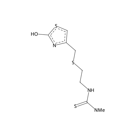 CNC(=S)NCCSCc1csc(O)n1